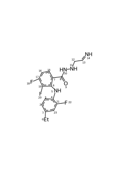 CCc1ccc(Nc2c(C(=O)NNCC=N)ccc(F)c2F)c(F)c1